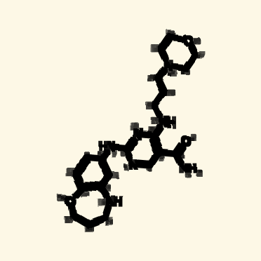 NC(=O)c1cnc(Nc2ccc3c(c2)NCCCO3)nc1NCCCN1CCOCC1